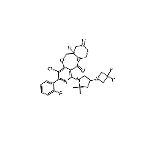 CC1(C)CC(N2CC(F)(F)C2)CN1c1nc(-c2ccccc2F)c(Cl)c2c1C(=O)N1CCNC[C@@H]1CO2